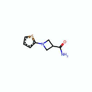 NC(=O)C1CN(c2cccs2)C1